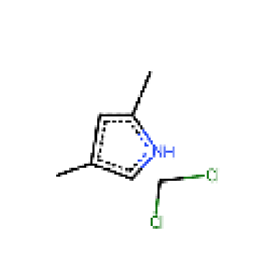 Cc1c[nH]c(C)c1.ClCCl